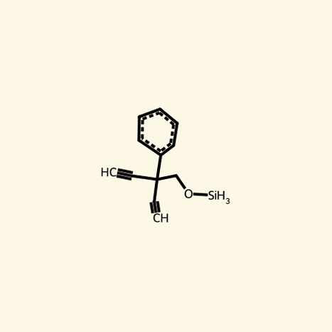 C#CC(C#C)(CO[SiH3])c1ccccc1